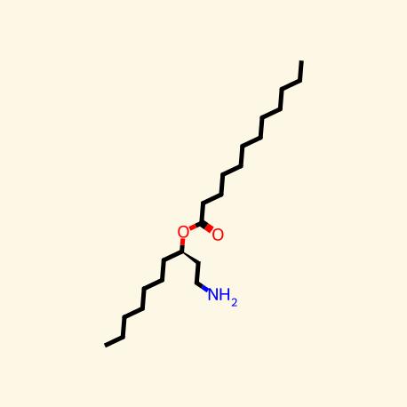 CCCCCCCCCCCC(=O)O[C@@H](CCN)CCCCCCC